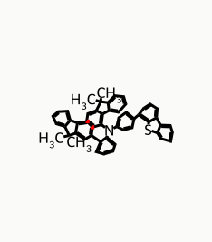 CC1(C)c2ccccc2-c2ccc(-c3ccccc3N(c3ccc(-c4cccc5c4sc4ccccc45)cc3)c3cccc4c3-c3ccccc3C4(C)C)cc21